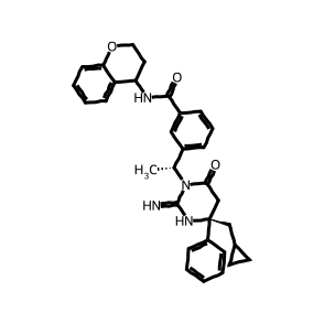 C[C@H](c1cccc(C(=O)NC2CCOc3ccccc32)c1)N1C(=N)N[C@@](CC2CC2)(c2ccccc2)CC1=O